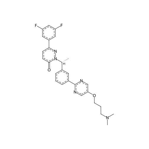 C[C@H](c1cccc(-c2ncc(OCCCN(C)C)cn2)c1)n1nc(-c2cc(F)cc(F)c2)ccc1=O